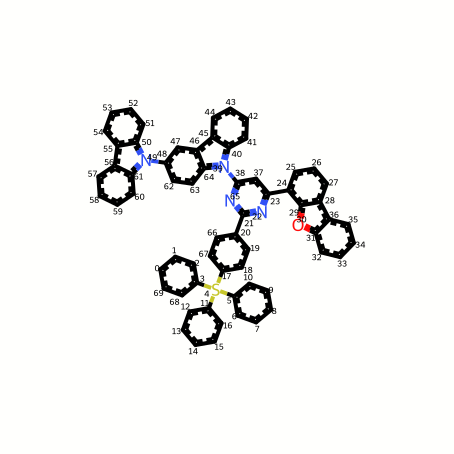 c1ccc(S(c2ccccc2)(c2ccccc2)c2ccc(-c3nc(-c4cccc5c4oc4ccccc45)cc(-n4c5ccccc5c5cc(-n6c7ccccc7c7ccccc76)ccc54)n3)cc2)cc1